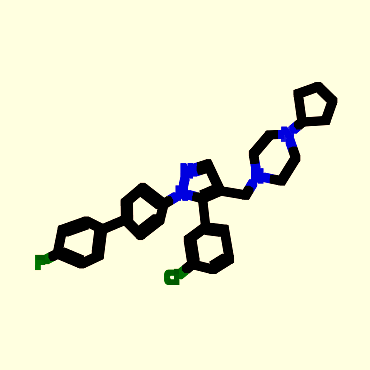 Fc1ccc(-c2ccc(-n3ncc(CN4CCN(C5CCCC5)CC4)c3-c3cccc(Cl)c3)cc2)cc1